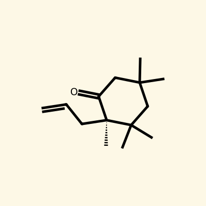 C=CC[C@@]1(C)C(=O)CC(C)(C)CC1(C)C